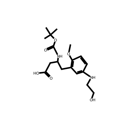 COc1ccc(NCCO)cc1CC(CC(=O)O)NC(=O)OC(C)(C)C